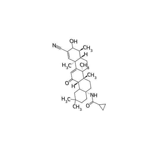 C[C@@H]1C(O)C(C#N)=C[C@]2(C)C3=CC(=O)[C@H]4C5CC(C)(C)CC[C@]5(NC(=O)C5CC5)CC[C@@]4(C)[C@]3(C)CC[C@@H]12